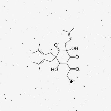 CC(C)=CCC1(O)C(=O)C(C(=O)CC(C)C)=C(O)C(CC=C(C)C)(CC=C(C)C)C1=O